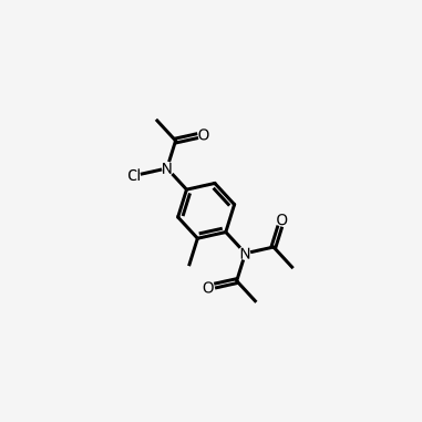 CC(=O)N(Cl)c1ccc(N(C(C)=O)C(C)=O)c(C)c1